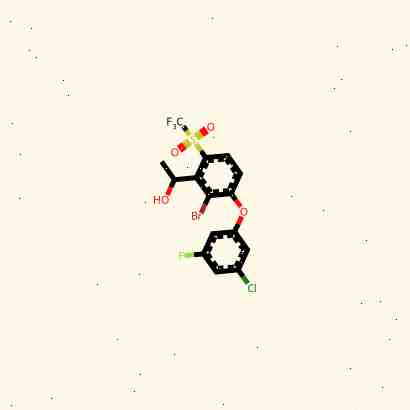 CC(O)c1c(S(=O)(=O)C(F)(F)F)ccc(Oc2cc(F)cc(Cl)c2)c1Br